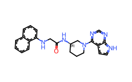 O=C(CNc1cccc2ccccc12)N[C@@H]1CCCN(c2ncnc3[nH]ccc23)C1